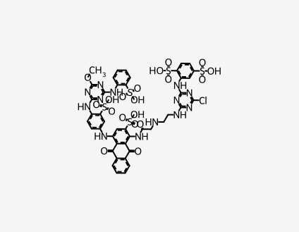 COc1nc(Nc2ccccc2S(=O)(=O)O)nc(Nc2ccc(Nc3cc(S(=O)(=O)O)c(NC(=O)CNCCNc4nc(Cl)nc(Nc5cc(S(=O)(=O)O)ccc5S(=O)(=O)O)n4)c4c3C(=O)c3ccccc3C4=O)cc2S(=O)(=O)O)n1